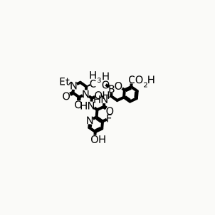 CCN1C[C@@H](C)N(C(O)NC(C(=O)N[C@H]2Cc3cccc(C(=O)O)c3OB2O)c2ncc(O)cc2F)C(=O)C1=O